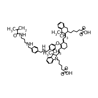 C=C(C)C(=O)NCCCNCc1ccc(CNCc2ccc(OC3=C(/C=C/C4N(CCCCS(=O)(=O)O)c5ccccc5C4(C)C)CCC/C3=C\C=C3\C(CCCCS(=O)(=O)O)Cc4ccccc4C3(C)C)cc2)cc1